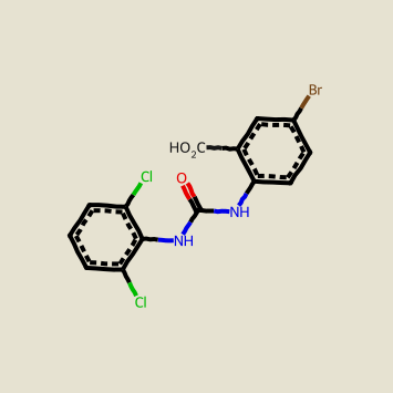 O=C(Nc1ccc(Br)cc1C(=O)O)Nc1c(Cl)cccc1Cl